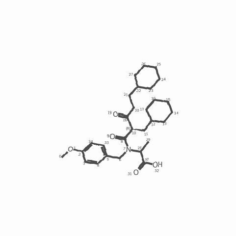 COc1ccc(CN(C(=O)[C@H](CC2CCCCC2)C(=O)CCC2CCCCC2)C(C)C(=O)O)cc1